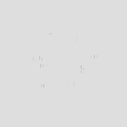 CNC(C(=O)C(C)N)C(C)(C)C